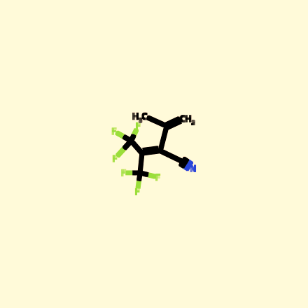 C=C(C)C(C#N)=C(C(F)(F)F)C(F)(F)F